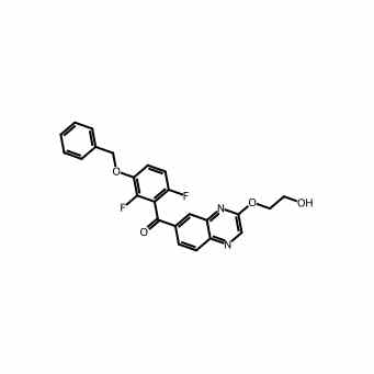 O=C(c1ccc2ncc(OCCO)nc2c1)c1c(F)ccc(OCc2ccccc2)c1F